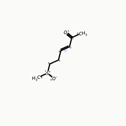 CC(=O)/C=C/CC[S+](C)[O-]